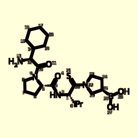 CC(C)[C@H](NC(=O)[C@@H]1CCCN1C(=O)[C@@H](N)C1CCCCC1)C(=S)N1CC[C@@H](B(O)O)C1